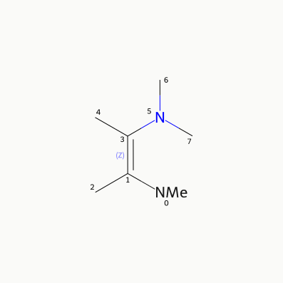 CN/C(C)=C(/C)N(C)C